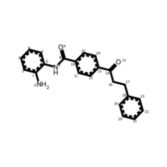 Nc1ccccc1NC(=O)c1ccc(C(=O)CCc2ccccc2)cc1